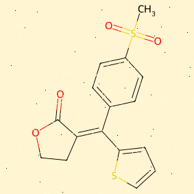 CS(=O)(=O)c1ccc(C(=C2CCOC2=O)c2cccs2)cc1